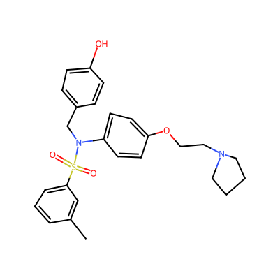 Cc1cccc(S(=O)(=O)N(Cc2ccc(O)cc2)c2ccc(OCCN3CCCC3)cc2)c1